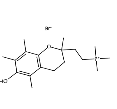 Cc1c(C)c2c(c(C)c1O)CCC(C)(CC[P+](C)(C)C)O2.[Br-]